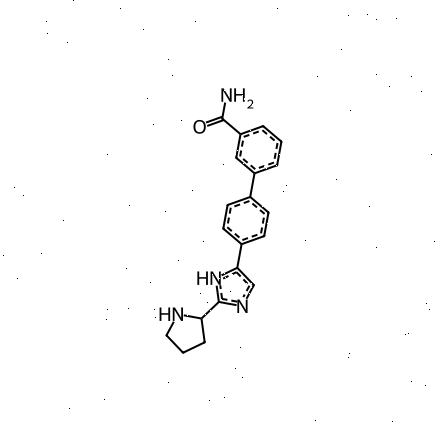 NC(=O)c1cccc(-c2ccc(-c3cnc(C4CCCN4)[nH]3)cc2)c1